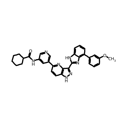 COc1cccc(-c2cccc3[nH]c(-c4n[nH]c5ccc(-c6cncc(NC(=O)C7CCCCC7)c6)nc45)nc23)c1